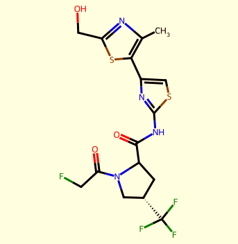 Cc1nc(CO)sc1-c1csc(NC(=O)C2C[C@H](C(F)(F)F)CN2C(=O)CF)n1